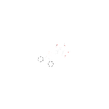 COC(=O)[C@H]1OC(COP(=O)(OCc2ccccc2)OCc2ccccc2)[C@@H](OC(C)=O)[C@@H](OC(C)=O)C1OC(C)=O